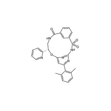 Cc1cccc(C)c1-c1cc2nc(n1)NS(=O)(=O)c1cccc(c1)C(=O)NC[C@@H](c1ccccn1)O2